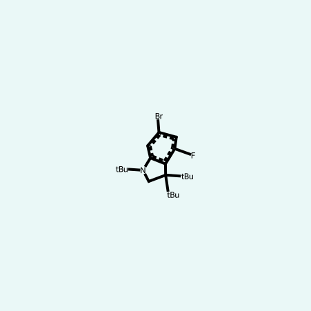 CC(C)(C)N1CC(C(C)(C)C)(C(C)(C)C)c2c(F)cc(Br)cc21